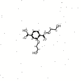 O=C(O)c1ccc(C(=O)OOCCO)c(OCCO)c1